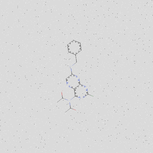 CC(O)N(c1nc(Cl)nc2nc(NCc3ccccc3)cnc12)C(C)O